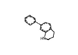 c1ccc(-c2ccc3c(c2)NCCC3)cc1